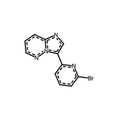 Brc1cccc(-c2cnc3cccnn23)n1